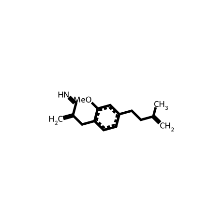 C=C(C)CCc1ccc(CC(=C)C=N)c(OC)c1